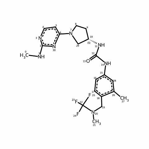 CNc1nccc(N2CC[C@H](NC(=O)Nc3ccc(CN(C)C(F)(F)F)c(C)c3)C2)n1